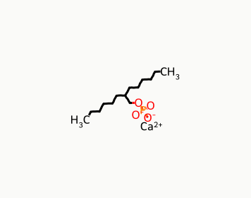 CCCCCCC(CCCCCC)COP(=O)([O-])[O-].[Ca+2]